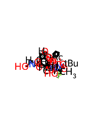 CC(=O)O[C@@]12CO[C@@H]1CC[C@@]1(C)[C@@H]3O[C@H](CN4CC[C@H]4CO)O[C@@H]3C3=C(C)[C@@H](OC(=O)[C@H](O)[C@@H](NC(=O)OC(C)(C)C)[C@H](C)F)C[C@@](O)([C@@H](OC(=O)c4ccccc4)[C@@H]12)C3(C)C